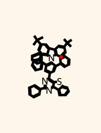 CC(C)(C)c1ccc2c(c1)c1cc(C(C)(C)C)cc(-c3ccccc3)c1n2-c1c(-c2ccccc2)cc(-c2nc(-c3ccccc3)nc3c2sc2ccccc23)cc1-c1ccccc1